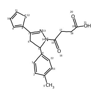 Cc1ccc(C2CC(c3cccs3)=NN2C(=O)CCC(=O)O)cc1